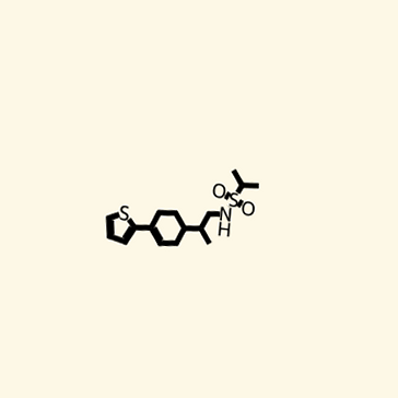 CC(CNS(=O)(=O)C(C)C)C1CC=C(c2cccs2)CC1